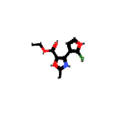 CCOC(=O)c1oc(C)nc1-c1ccoc1Cl